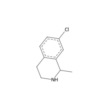 CC1NCCc2ccc(Cl)cc21